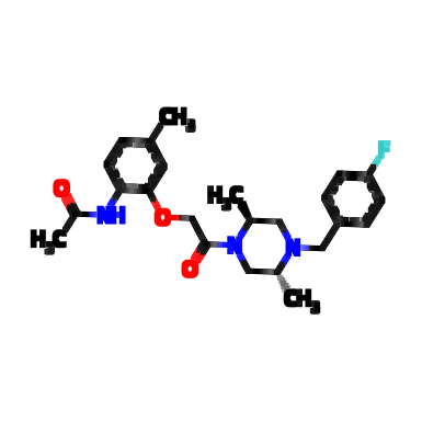 CC(=O)Nc1ccc(C)cc1OCC(=O)N1C[C@@H](C)N(Cc2ccc(F)cc2)C[C@@H]1C